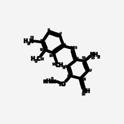 CCCCCCOC1=C/C(=N\c2ccc(N)c(C)c2C)C(N)=CC1=N